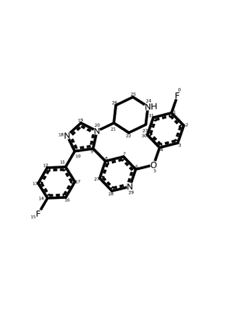 Fc1ccc(Oc2cc(-c3c(-c4ccc(F)cc4)ncn3C3CCNCC3)ccn2)cc1